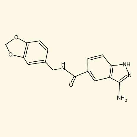 Nc1n[nH]c2ccc(C(=O)NCc3ccc4c(c3)OCO4)cc12